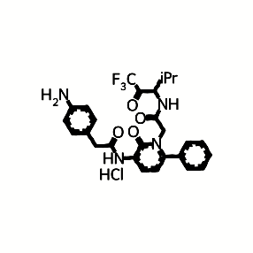 CC(C)C(NC(=O)Cn1c(-c2ccccc2)ccc(NC(=O)Cc2ccc(N)cc2)c1=O)C(=O)C(F)(F)F.Cl